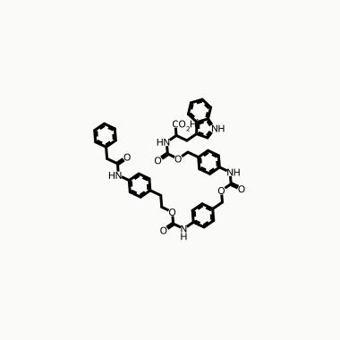 O=C(Cc1ccccc1)Nc1ccc(CCOC(=O)Nc2ccc(COC(=O)Nc3ccc(COC(=O)NC(Cc4c[nH]c5ccccc45)C(=O)O)cc3)cc2)cc1